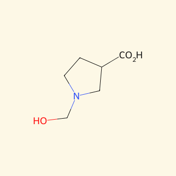 O=C(O)C1CCN(CO)C1